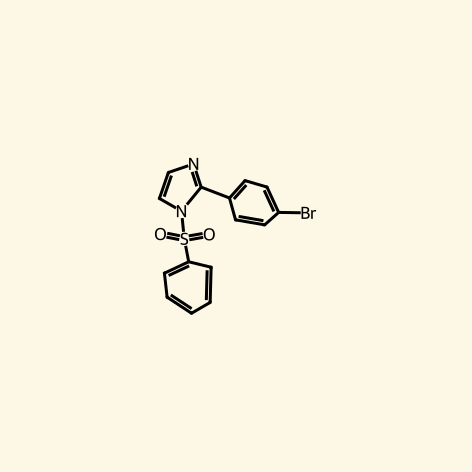 O=S(=O)(c1ccccc1)n1ccnc1-c1ccc(Br)cc1